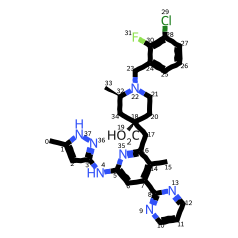 Cc1cc(Nc2cc(-c3ncccn3)c(C)c(C[C@@]3(C(=O)O)CCN(Cc4cccc(Cl)c4F)[C@H](C)C3)n2)n[nH]1